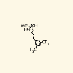 CO[Si](O)(O)CCCCc1cc(C(F)(F)F)cc(C(F)(F)F)c1